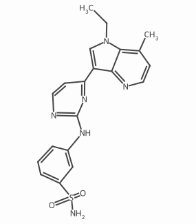 CCn1cc(-c2ccnc(Nc3cccc(S(N)(=O)=O)c3)n2)c2nccc(C)c21